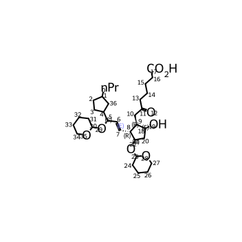 CCCC1CCC([C@@H](/C=C/[C@@H]2[C@@H](CC(=O)CCCCC(=O)O)[C@@H](O)C[C@H]2OC2CCCCO2)OC2CCCCO2)C1